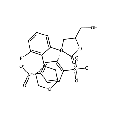 O=C1OC(CO)C[N@+]1(c1cc([N+](=O)[O-])ccc1S(=O)(=O)[O-])c1cccc(F)c1N1CCOCC1